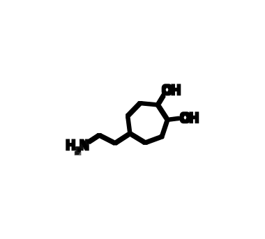 NCCC1CCC(O)C(O)CC1